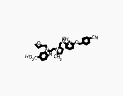 CC1CCC(CN(C)c2cccc(OCc3ccc(C#N)cc3)n2)N1Cc1nc2ccc(C(=O)O)cc2n1CC1CCO1